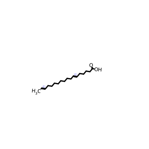 C/C=C/CCCCCCCC/C=C/CCCCC(=O)O